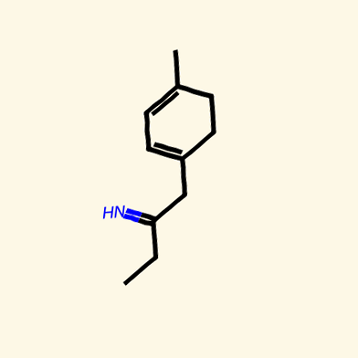 CCC(=N)CC1=CC=C(C)CC1